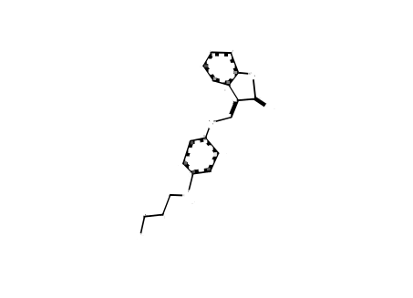 O=C1Nc2ccccc2/C1=C\Nc1ccc(OCCCCl)cc1